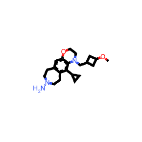 COC1CC(CN2CCOc3cc4c(c(C5CC5)c32)CCN(N)CC4)C1